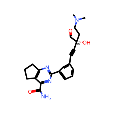 CN(C)CC[C@@](O)(C#Cc1cccc(-c2nc3c(c(C(N)=O)n2)CCC3)c1)C=O